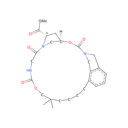 COC(=O)[C@@H]1C[C@@H]2CN1C(=O)CNC(=O)OCC(C)(C)CCCCc1cccc3c1CN(C3)C(=O)O2